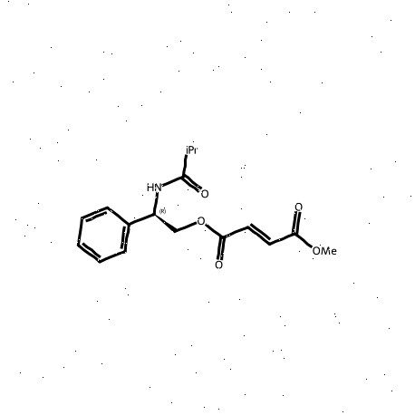 COC(=O)C=CC(=O)OC[C@H](NC(=O)C(C)C)c1ccccc1